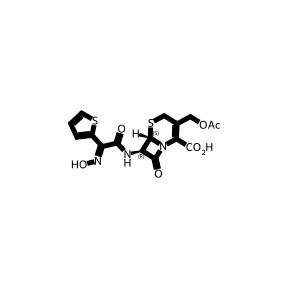 CC(=O)OCC1=C(C(=O)O)N2C(=O)[C@@H](NC(=O)C(=NO)c3cccs3)[C@@H]2SC1